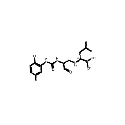 CC(C)C[C@H](NCC(C=O)NC(=O)Nc1cc(Cl)ccc1Cl)B(O)O